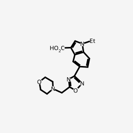 CCn1cc(C(=O)O)c2cc(-c3noc(CN4CCOCC4)n3)ccc21